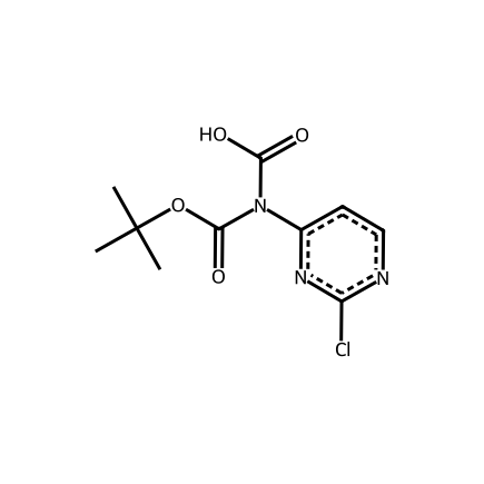 CC(C)(C)OC(=O)N(C(=O)O)c1ccnc(Cl)n1